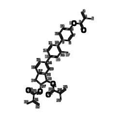 C=C(C)C(=O)Oc1ccc(-c2ccc(-c3ccc4c(c3)C(OC(=O)C(=C)C)C(OC(=O)C(=C)C)C4)cc2C)cc1